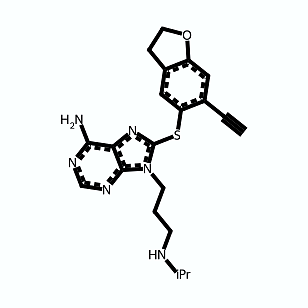 C#Cc1cc2c(cc1Sc1nc3c(N)ncnc3n1CCCNC(C)C)CCO2